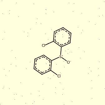 [O-][S+](c1ccccc1Cl)c1ccccc1Cl